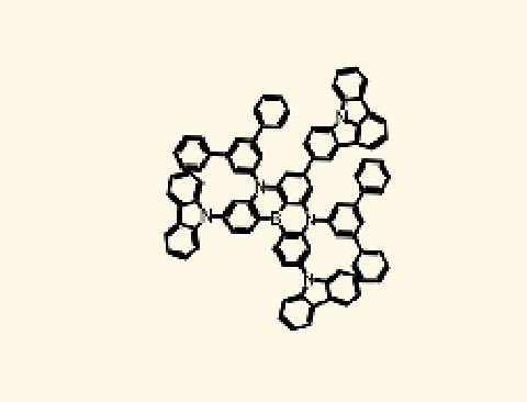 c1ccc(-c2cc(-c3ccccc3)cc(N3c4cc(-n5c6ccccc6c6ccccc65)ccc4B4c5ccc(-n6c7ccccc7c7ccccc76)cc5N(c5cc(-c6ccccc6)cc(-c6ccccc6)c5)c5cc(-c6ccc7c(c6)c6cccc8c9ccccc9n7c86)cc3c54)c2)cc1